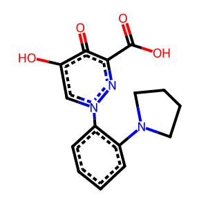 O=C(O)c1nn(-c2ccccc2N2CCCC2)cc(O)c1=O